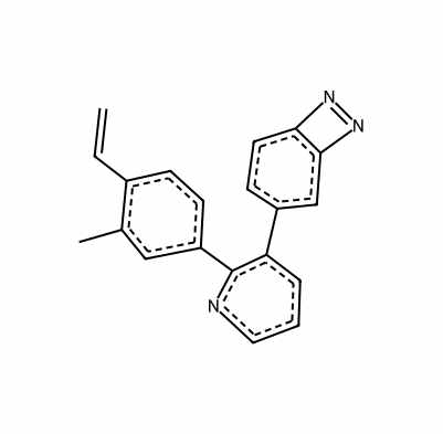 C=Cc1ccc(-c2ncccc2-c2ccc3c(c2)N=N3)cc1C